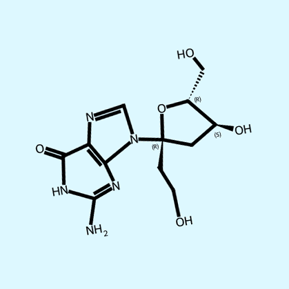 Nc1nc2c(ncn2[C@@]2(CCO)C[C@H](O)[C@@H](CO)O2)c(=O)[nH]1